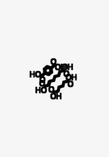 O=C(O)C=CCCCCC(=O)O.O=C(O)CCCCC(=O)O.O=C(O)c1ccc(C(=O)O)cc1